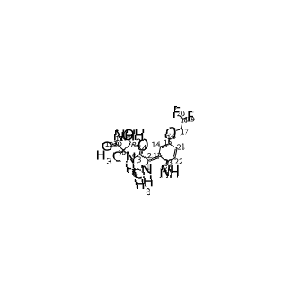 CN/C(C(=O)NC(C)(CO)C(N)=O)=C1/C=C(OCC(F)F)C=CC1=N